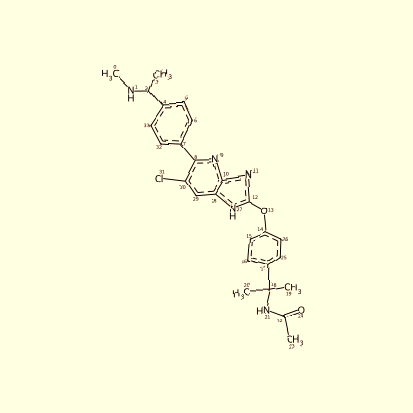 CNC(C)c1ccc(-c2nc3nc(Oc4ccc(C(C)(C)NC(C)=O)cc4)[nH]c3cc2Cl)cc1